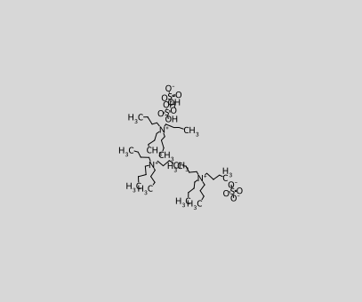 CCCC[N+](CCCC)(CCCC)CCCC.CCCC[N+](CCCC)(CCCC)CCCC.CCCC[N+](CCCC)(CCCC)CCCC.O=S(=O)(O)O.O=S(=O)([O-])O.O=S(=O)([O-])[O-]